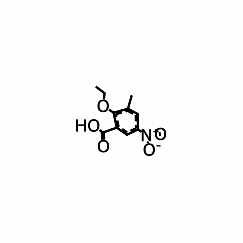 CCOc1c(C)cc([N+](=O)[O-])cc1C(=O)O